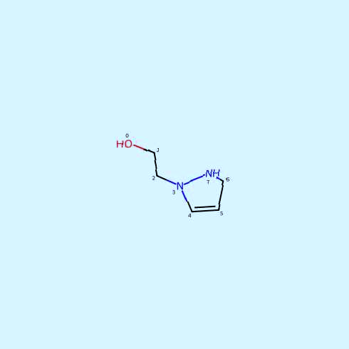 OCCN1C=CCN1